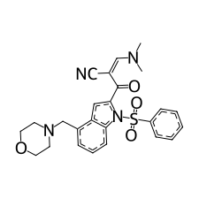 CN(C)/C=C(/C#N)C(=O)c1cc2c(CN3CCOCC3)cccc2n1S(=O)(=O)c1ccccc1